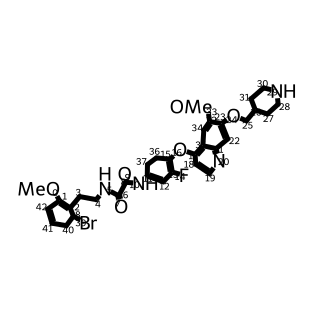 COC1=C(CCNC(=O)C(=O)NC2=CC(F)=C(Oc3ccnc4cc(OCC5CCNCC5)c(OC)cc34)CC2)C(Br)CC=C1